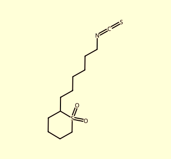 O=S1(=O)CCCCC1CCCCCCN=C=S